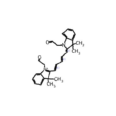 CC1(C)C(/C=C/C=C/C=C2\N(CC=O)c3ccccc3C2(C)C)=[N+](CC=O)c2ccccc21